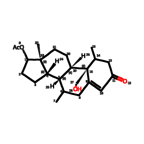 CC(=O)OC1CC[C@H]2[C@@H]3C(C)CC4=CC(=O)CC(C)[C@]4(CO)[C@@H]3CC[C@]12C